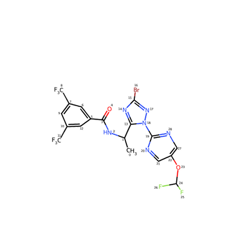 CC(NC(=O)c1cc(C(F)(F)F)cc(C(F)(F)F)c1)c1nc(Br)nn1-c1ncc(OC(F)F)cn1